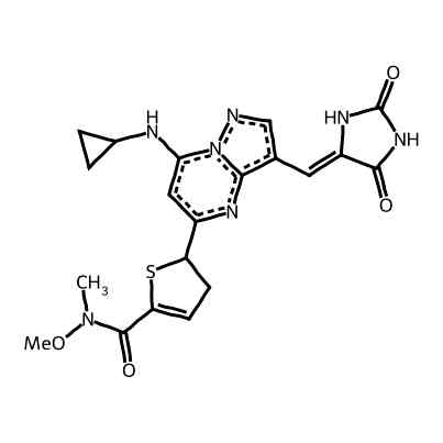 CON(C)C(=O)C1=CCC(c2cc(NC3CC3)n3ncc(/C=C4\NC(=O)NC4=O)c3n2)S1